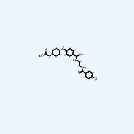 O=C(O)C[C@H]1CC[C@H](Oc2ccc(C(=O)NCCNC(=O)c3ccc(Cl)cc3)cc2)CC1